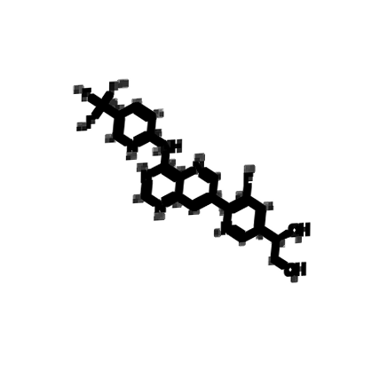 OC[C@H](O)c1cnc(-c2cnc3c(Nc4ccc(C(F)(F)F)cn4)ncnc3c2)c(F)c1